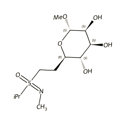 CN=S(=O)(CC[C@H]1O[C@H](OC)[C@@H](O)[C@@H](O)[C@@H]1O)C(C)C